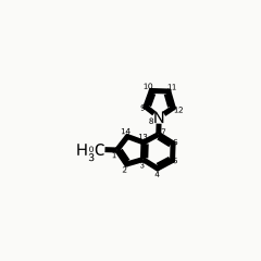 CC1=Cc2cccc(-n3cccc3)c2C1